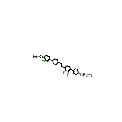 CCCCCC1CC=C(c2ccc(CCC3CCC(c4ccc(OC)c(F)c4)CC3)c(F)c2F)CC1